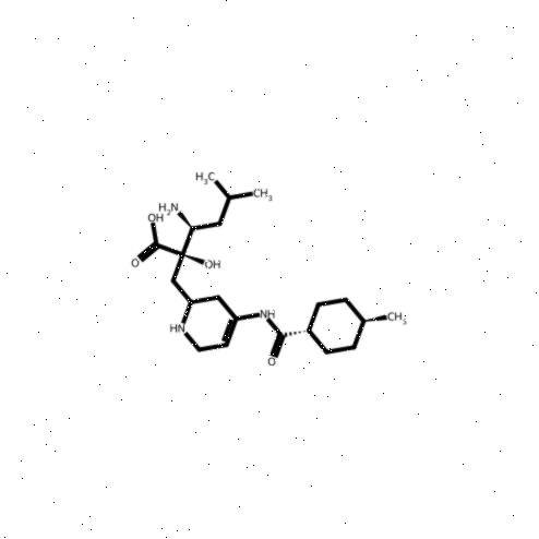 CC(C)C[C@H](N)[C@](O)(CC1CC(NC(=O)[C@H]2CC[C@H](C)CC2)=CCN1)C(=O)O